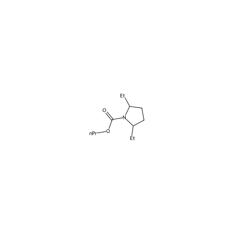 CCCOC(=O)N1C(CC)CCC1CC